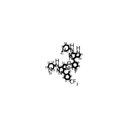 Cc1cc(C(F)(F)F)ccc1-c1nnc(N[C@@H]2CCCN(C)C2)c2cc(Oc3cc(F)ccc3-c3nnc(N[C@@H]4CCCN(C)C4)c4[nH]ccc34)[nH]c12